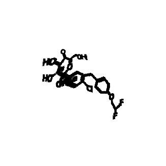 CO[C@@]1(c2ccc(Cl)c(Cc3ccc(OCC(F)F)cc3)c2)O[C@H](CO)C(=O)C(O)[C@H]1O